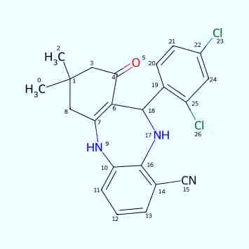 CC1(C)CC(=O)C2=C(C1)Nc1cccc(C#N)c1NC2c1ccc(Cl)cc1Cl